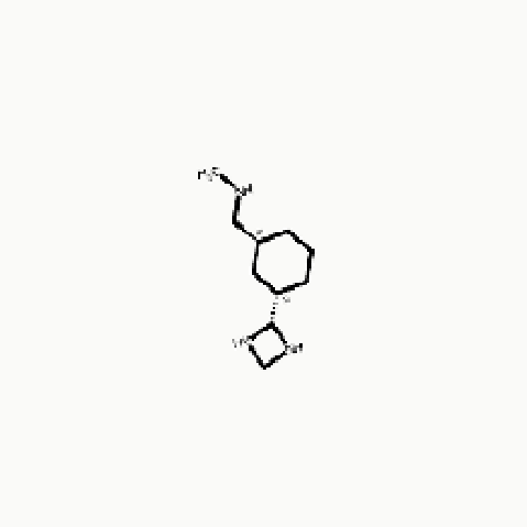 CNC[C@H]1CCC[C@H](C2NCN2)C1